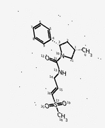 C[C@H]1C[C@@H](c2ccccc2)N(C(=O)NC/C=C/S(C)(=O)=O)C1